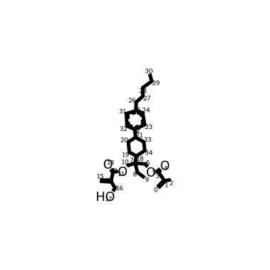 C=C(C)C(=O)OCC(CC)(COC(=O)C(=C)CO)C1CCC(c2ccc(CCCCC)cc2)CC1